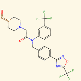 O=S=S1CCN(CC(=O)N(Cc2ccc(-c3noc(C(F)(F)F)n3)cc2)c2cccc(C(F)(F)F)c2)CC1